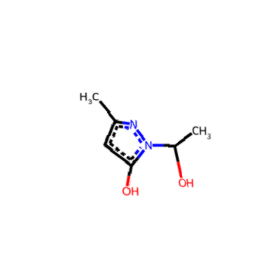 Cc1cc(O)n(C(C)O)n1